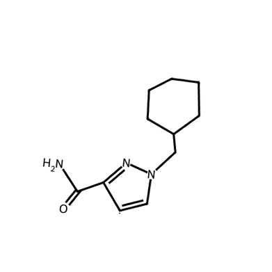 NC(=O)c1[c]cn(CC2CCCCC2)n1